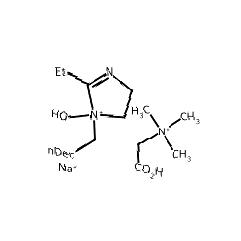 CCCCCCCCCCC[N+]1(O)CCN=C1CC.C[N+](C)(C)CC(=O)O.[Na+]